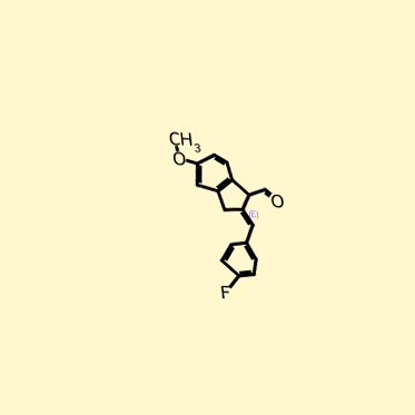 COc1ccc2c(c1)C/C(=C\c1ccc(F)cc1)C2C=O